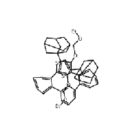 CCOCOc1c(C23CC4CC(CC(C4)C2)C3)csc1-c1ccccc1-c1cccc(-c2ccccc2-c2scc(C34CC5CC(CC(C5)C3)C4)c2OCOCC)n1